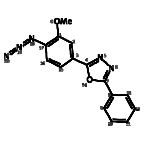 COc1cc(-c2nnc(-c3ccccc3)o2)ccc1N=[N+]=[N-]